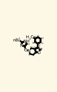 CCCCc1nc(ON2CCc3onc(-c4cccc(C)c4)c3C2)c[nH]1